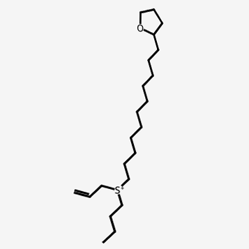 C=CC[S+](CCCC)CCCCCCCCCCCC1CCCO1